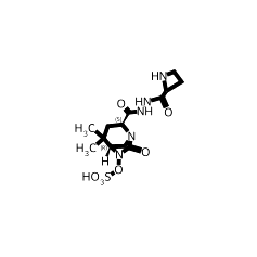 CC1(C)C[C@@H](C(=O)NNC(=O)C2CCN2)N2C[C@@H]1N(OS(=O)(=O)O)C2=O